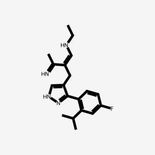 CCN/C=C(/Cc1c[nH]nc1-c1ccc(F)cc1C(C)C)C(C)=N